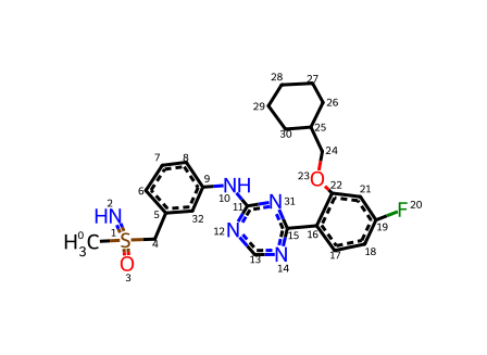 CS(=N)(=O)Cc1cccc(Nc2ncnc(-c3ccc(F)cc3OCC3CCCCC3)n2)c1